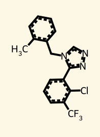 Cc1ccccc1Cn1cnnc1-c1cccc(C(F)(F)F)c1Cl